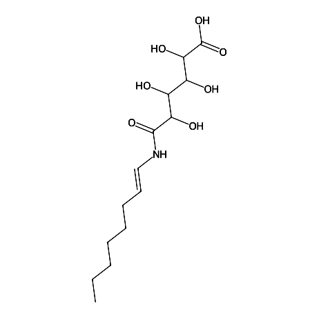 CCCCCCC=CNC(=O)C(O)C(O)C(O)C(O)C(=O)O